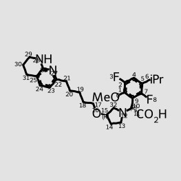 COc1c(F)cc(C(C)C)c(F)c1[C@H](C(=O)O)N1CC[C@@H](OCCCCCc2ccc3c(n2)NCCC3)C1